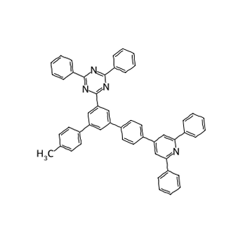 Cc1ccc(-c2cc(-c3ccc(-c4cc(-c5ccccc5)nc(-c5ccccc5)c4)cc3)cc(-c3nc(-c4ccccc4)nc(-c4ccccc4)n3)c2)cc1